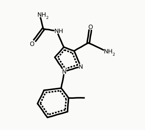 Cc1ccccc1-n1cc(NC(N)=O)c(C(N)=O)n1